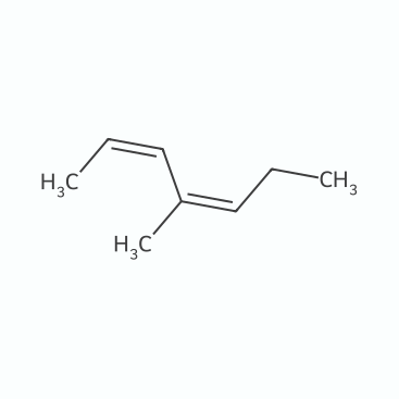 C/C=C\C(C)=C/CC